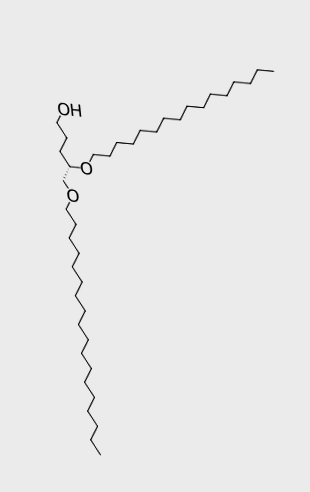 CCCCCCCCCCCCCCCCCCOC[C@H](CCCO)OCCCCCCCCCCCCCCCC